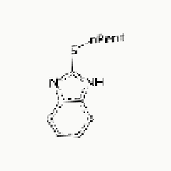 CCCCCSc1nc2ccccc2[nH]1